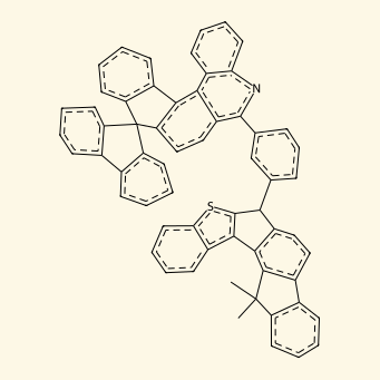 CC1(C)c2ccccc2-c2ccc3c(c21)-c1c(sc2ccccc12)C3c1cccc(-c2nc3ccccc3c3c4c(ccc23)C2(c3ccccc3-c3ccccc32)c2ccccc2-4)c1